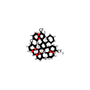 FC(F)(F)c1ccc(-c2c(C3CCCCC3)c(-c3ccc(C(F)(F)F)cc3)c(N3c4ccccc4Sc4ccccc43)c(C3CCCCC3)c2N2c3ccccc3Oc3ccccc32)cc1